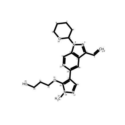 C=Cc1nn(C2CCCCO2)c2cnc(-c3cnn(C)c3OCCCO)cc12